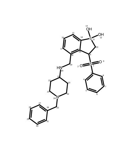 O=S(=O)(c1ccccc1)C1CS(O)(O)c2cccc(CNC3CCN(Cc4ccccc4)CC3)c21